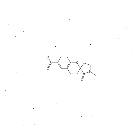 COC(=O)c1ccc2c(c1)CCC1(CCN(C)C1=O)S2